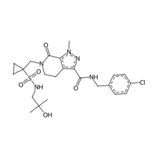 Cn1nc(C(=O)NCc2ccc(Cl)cc2)c2c1C(=O)N(CC1(S(=O)(=O)NCC(C)(C)O)CC1)CC2